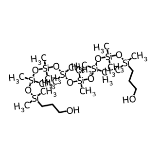 C[Si](C)(CCCO)O[Si](C)(C)O[Si](C)(C)O[Si](C)(C)O[Si](C)(C)O[Si](C)(C)O[Si](C)(C)O[Si](C)(C)CCCO